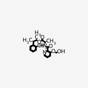 Cc1ccccc1[C@H](C)[C@H](C)OC(=O)[C@H](C)NC(=O)c1ncccc1OCO